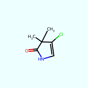 CC1(C)C(=O)NC=C1Cl